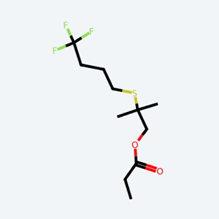 CCC(=O)OCC(C)(C)SCCCC(F)(F)F